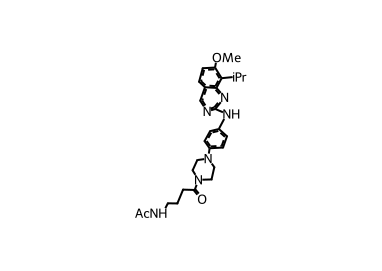 COc1ccc2cnc(Nc3ccc(N4CCN(C(=O)CCCNC(C)=O)CC4)cc3)nc2c1C(C)C